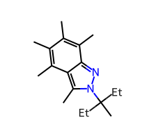 CCC(C)(CC)n1nc2c(C)c(C)c(C)c(C)c2c1C